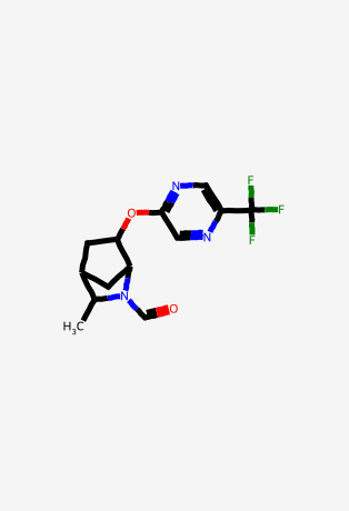 CC1C2CC(Oc3cnc(C(F)(F)F)cn3)C(C2)N1C=O